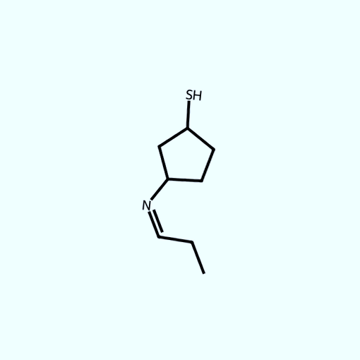 CC/C=N\C1CCC(S)C1